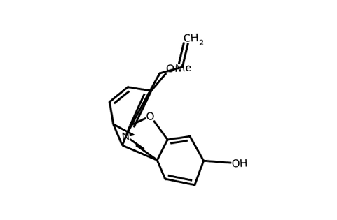 C=CCN1CCC23C=CC(O)C=C2OC2=C(OC)C=CC(C1)C23